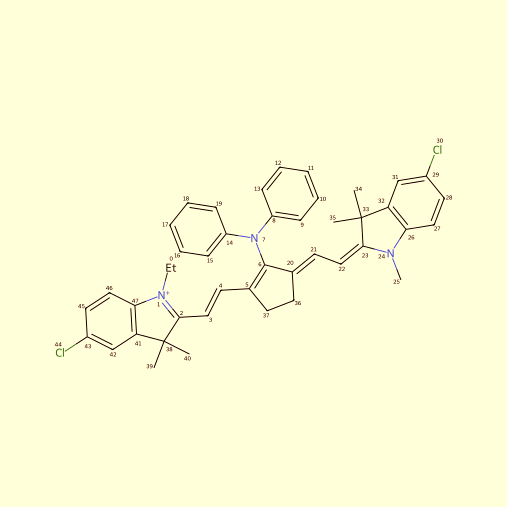 CC[N+]1=C(/C=C/C2=C(N(c3ccccc3)c3ccccc3)C(=C/C=C3/N(C)c4ccc(Cl)cc4C3(C)C)/CC2)C(C)(C)c2cc(Cl)ccc21